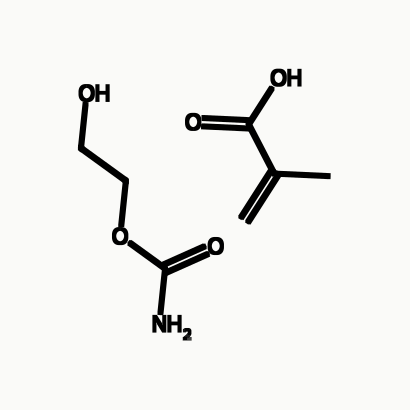 C=C(C)C(=O)O.NC(=O)OCCO